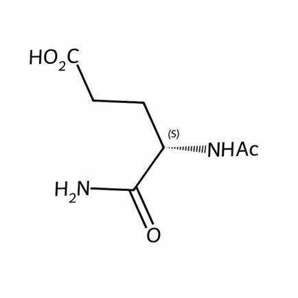 CC(=O)N[C@@H](CCC(=O)O)C(N)=O